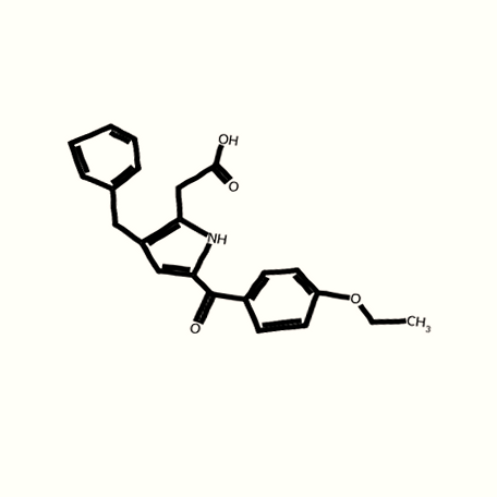 CCOc1ccc(C(=O)c2cc(Cc3ccccc3)c(CC(=O)O)[nH]2)cc1